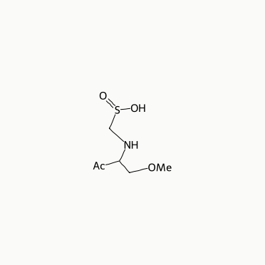 COCC(NCS(=O)O)C(C)=O